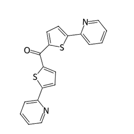 O=C(c1ccc(-c2ccccn2)s1)c1ccc(-c2ccccn2)s1